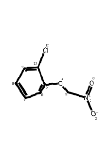 O=[N+]([O-])COc1ccccc1Cl